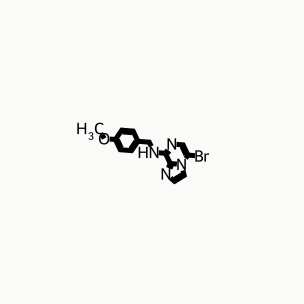 COc1ccc(CNc2ncc(Br)n3ccnc23)cc1